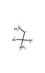 CC(=O)C(N)(CN)C(C)=O